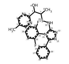 Cc1cnc(C(O)C(C)SNc2nnc(-c3ccccc3)n2-c2c(F)cccc2F)nc1